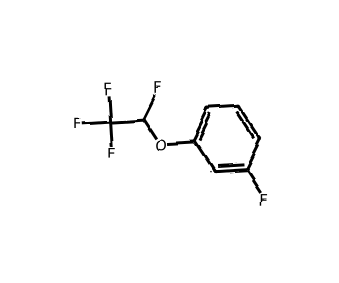 Fc1[c]c(OC(F)C(F)(F)F)ccc1